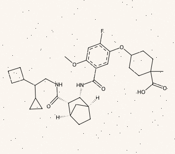 COc1cc(F)c(OC2CCC(C)(C(=O)O)CC2)cc1C(=O)N[C@@H]1[C@H]2CC[C@H](C2)[C@@H]1C(=O)NCC(C1CCC1)C1CC1